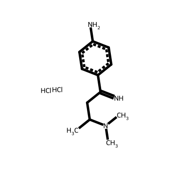 CC(CC(=N)c1ccc(N)cc1)N(C)C.Cl.Cl